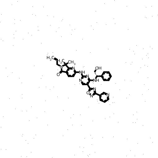 C=CCN1C(=O)c2ccc(Nc3ncc(-c4nc(-c5cccnc5)no4)c(N[C@H](CO)c4ccccc4)n3)nc2C1(C)C